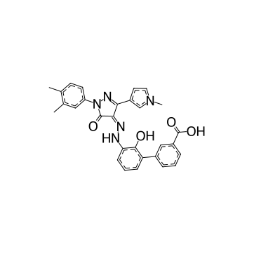 Cc1ccc(N2N=C(c3ccn(C)c3)C(=NNc3cccc(-c4cccc(C(=O)O)c4)c3O)C2=O)cc1C